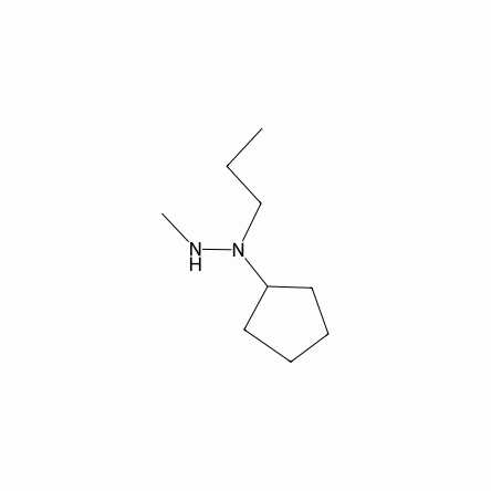 CCCN(NC)C1CCCC1